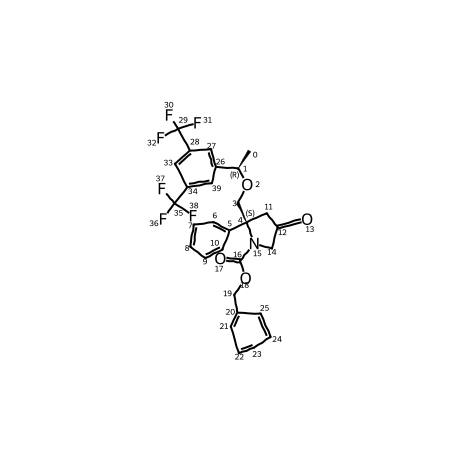 C[C@@H](OC[C@@]1(c2ccccc2)CC(=O)CN1C(=O)OCc1ccccc1)c1cc(C(F)(F)F)cc(C(F)(F)F)c1